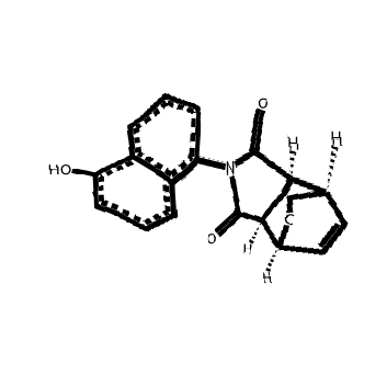 O=C1[C@@H]2[C@H](C(=O)N1c1cccc3c(O)cccc13)[C@@H]1C=C[C@H]2CC1